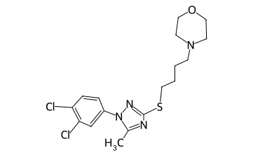 Cc1nc(SCCCCN2CCOCC2)nn1-c1ccc(Cl)c(Cl)c1